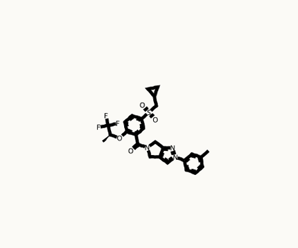 Cc1cccc(-n2cc3c(n2)CN(C(=O)c2cc(S(=O)(=O)CC4CC4)ccc2O[C@@H](C)C(F)(F)F)C3)c1